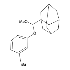 CCC(C)c1cccc(OC(OC)C23CC4CC(CC(C4)C2)C3)c1